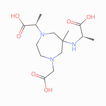 C[C@H](C(=O)O)N1CCN(CC(=O)O)CC(C)(N[C@H](C)C(=O)O)C1